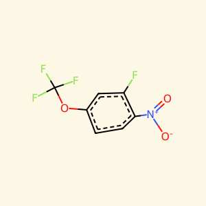 O=[N+]([O-])c1ccc(OC(F)(F)F)cc1F